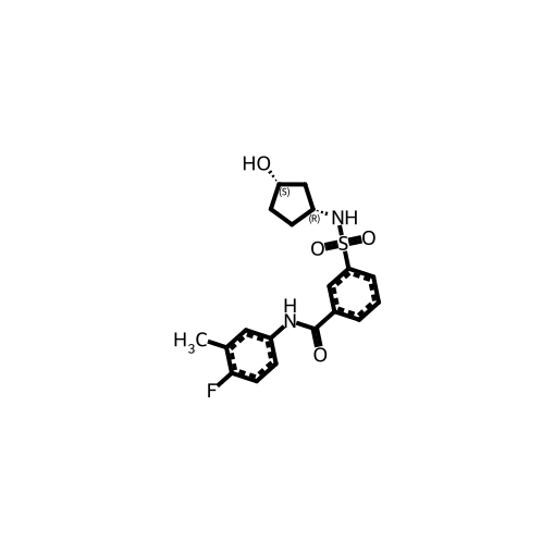 Cc1cc(NC(=O)c2cccc(S(=O)(=O)N[C@@H]3CC[C@H](O)C3)c2)ccc1F